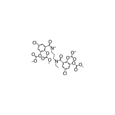 CCN(CCCN(C)C(=O)c1cc(Cl)cc(OC(=O)OC)c1OC(=O)OC)C(=O)c1cc(Cl)cc(OC(=O)OC)c1OC(=O)OC